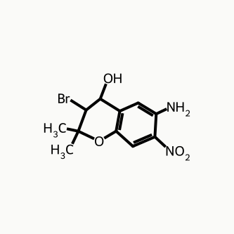 CC1(C)Oc2cc([N+](=O)[O-])c(N)cc2C(O)C1Br